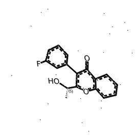 C[C@H](O)c1oc2ccccc2c(=O)c1-c1cccc(F)c1